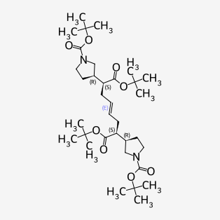 CC(C)(C)OC(=O)[C@@H](C/C=C/C[C@H](C(=O)OC(C)(C)C)[C@H]1CCN(C(=O)OC(C)(C)C)C1)[C@H]1CCN(C(=O)OC(C)(C)C)C1